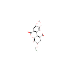 O=c1oc2c3c(cc4c(=O)oc5c(c1CC(OCCl)C=5O)c24)OCO3